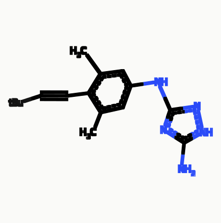 Cc1cc(Nc2n[nH]c(N)n2)cc(C)c1C#CC(C)(C)C